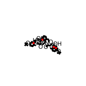 CC(C)(C)Oc1ccc(C[C@H](C(=O)N(O)OC(C)(C)C)C(=O)N2CCc3ccccc3C2CN(C(=O)NO)C(=O)[C@H](Cc2ccc(OC(C)(C)C)cc2)OC(C)(C)C)cc1